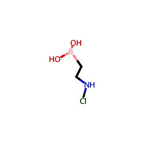 OB(O)CCNCl